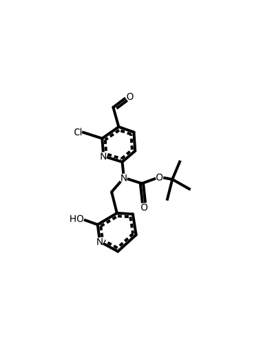 CC(C)(C)OC(=O)N(Cc1cccnc1O)c1ccc(C=O)c(Cl)n1